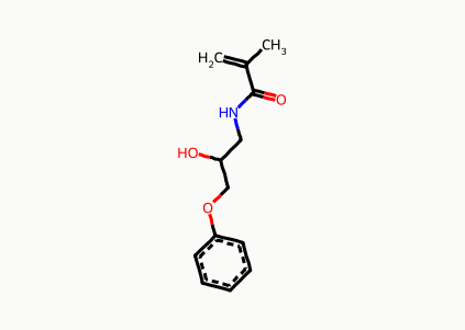 C=C(C)C(=O)NCC(O)COc1ccccc1